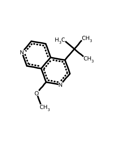 COc1ncc(C(C)(C)C)c2ccncc12